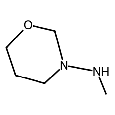 CNN1CCCOC1